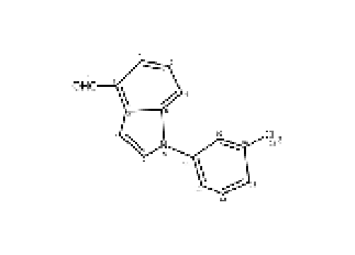 O=Cc1cccc2c1ccn2-c1cccc(C(F)(F)F)c1